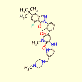 CN1CCN(Cc2ccc(Nc3cc(-c4cccc(-n5ncc6cc(C(C)(C)C)cc(F)c6c5=O)c4CO)cn(C)c3=O)nc2)CC1